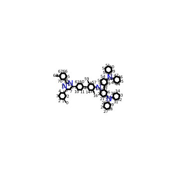 Cc1cccc(-c2cc(-c3ccc(-c4cc(C)c(-n5c6ccc(N(c7ccccc7)c7ccccc7)cc6c6cc(N(c7ccccc7)c7ccccc7)ccc65)cc4C)cc3)nc(-c3cccc(C)c3)n2)c1